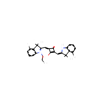 CC(C)CC[N+]1=C(/C=C2/C(=O)C(/C=C3\N(C)c4cccc([N+](=O)[O-])c4C3(C)C)=C2O)C(C)(C)c2c([N+](=O)[O-])cccc21